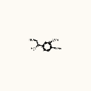 COc1ccc(C(N)CC#N)cc1OC